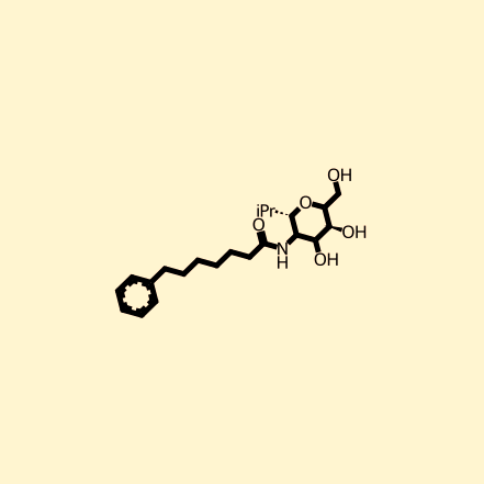 CC(C)[C@@H]1OC(CO)[C@@H](O)C(O)C1NC(=O)CCCCCCc1ccccc1